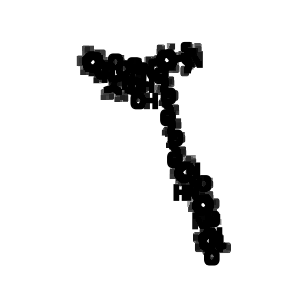 Cc1ncsc1-c1ccc(CNC(=O)[C@H]2C[C@H](O)CN2C(=O)[C@@H](C(C)C)N2Cc3ccccc3C2=O)c(OCCOCCOCCOCCOc2ccc(C(=O)Nc3ccc4oc(-c5ccc(=O)n(C)n5)nc4c3)nc2)c1